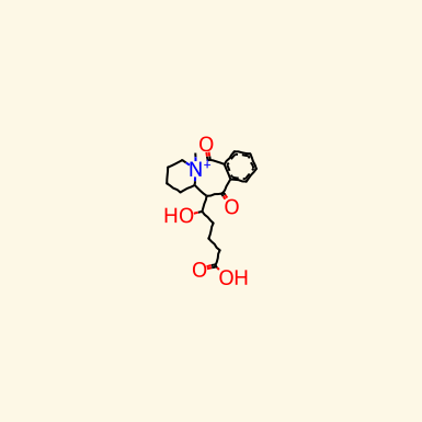 C[N+]12CCCCC1C(C(O)CCCC(=O)O)C(=O)c1ccccc1C2=O